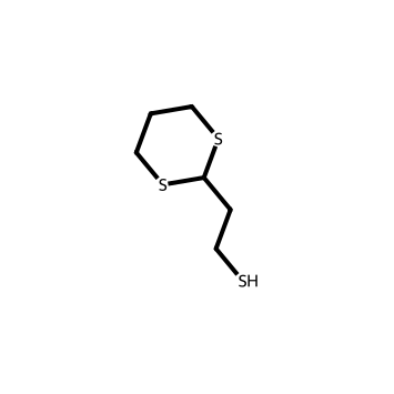 SCCC1SCCCS1